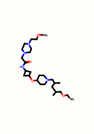 CC(COCC(C)(C)C)CC(C)CN1CCC(OC2CC(NC(=O)CN3CCN(CCOC(C)(C)C)CC3)C2)CC1